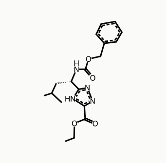 CCOC(=O)c1nnc([C@H](CC(C)C)NC(=O)OCc2ccccc2)[nH]1